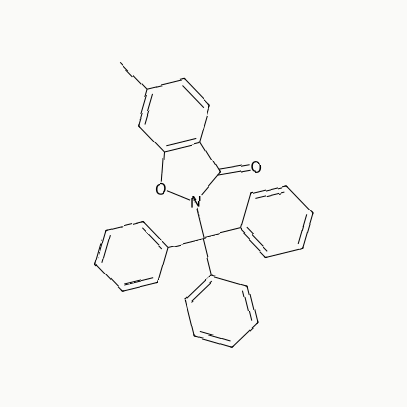 Cc1ccc2c(=O)n(C(c3ccccc3)(c3ccccc3)c3ccccc3)oc2c1